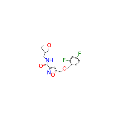 O=C(NCC1CCOC1)c1cc(COCc2ccc(F)cc2F)on1